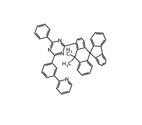 CC1(C)c2ccccc2C2(c3ccccc3-c3ccccc32)c2cccc(-c3nc(-c4ccccc4)nc(-c4cccc(-c5ccccn5)c4)n3)c21